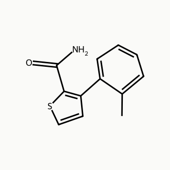 Cc1ccccc1-c1ccsc1C(N)=O